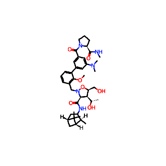 CNC(=O)[C@@H]1CCCN1C(=O)c1cc(-c2cccc(CN3O[C@@H](CO)[C@@H]([C@H](C)O)[C@H]3C(=O)NC3C[C@H]4C[C@@H]([C@@H]3C)C4(C)C)c2OC)cc(N(C)C)c1